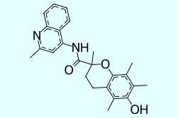 Cc1cc(NC(=O)C2(C)CCc3c(C)c(O)c(C)c(C)c3O2)c2ccccc2n1